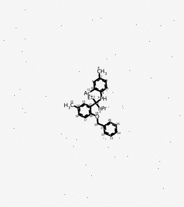 CCCC(CC)(Pc1ccc(C)cc1C(C)=O)c1cc(C)ccc1OCc1ccccc1